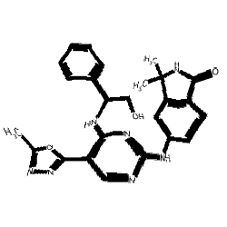 Cc1nnc(-c2cnc(Nc3ccc4c(c3)C(C)(C)NC4=O)nc2NC(CO)c2ccccc2)o1